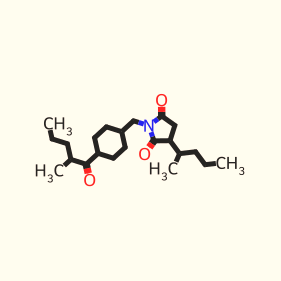 CCCC(C)C(=O)C1CCC(CN2C(=O)CC(C(C)CCC)C2=O)CC1